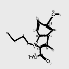 CCCCn1c(C(=O)O)c(C)c2cc(OC)ccc21